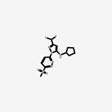 CS(=O)(=O)c1ccc(-n2nc(C(F)F)cc2NC2CCCC2)nn1